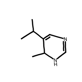 CC(C)C1=CN=CNC1C